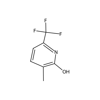 Cc1ccc(C(F)(F)F)nc1O